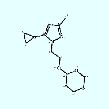 Ic1cc(C2CC2)n(CCOC2CCCCO2)n1